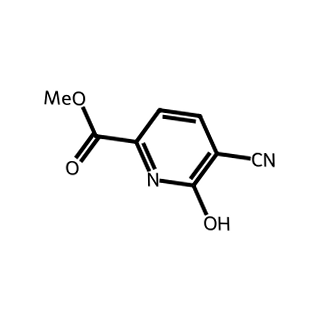 COC(=O)c1ccc(C#N)c(O)n1